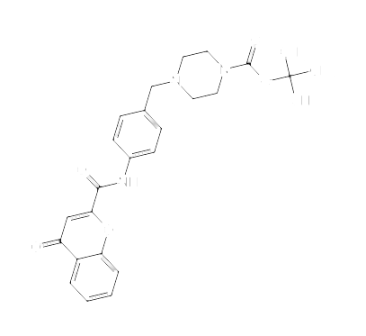 CC(C)(C)OC(=O)N1CCN(Cc2ccc(NC(=O)c3cc(=O)c4ccccc4o3)cc2)CC1